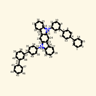 c1ccc(-c2ccc(-c3cccc(-n4c5ccccc5c5cc6c(cc54)c4ccccc4n6-c4ccc(-c5cccc(-c6ccccc6)c5)cc4)c3)cc2)cc1